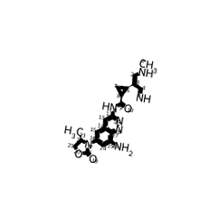 CN/C=C(\C=N)[C@H]1C[C@@H]1C(=O)Nc1cc2cc(N3C(=O)OC[C@@H]3C)cc(N)c2nn1